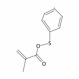 C=C(C)C(=O)OSc1cc[c]cc1